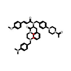 COc1ccc(/C=C/C(=O)N(Cc2ccc(N3CCN(C(C)=O)CC3)cc2)C(Cc2ccccc2)C(=O)N2CCN(Cc3ccc(N(C)C)cc3)CC2)cc1